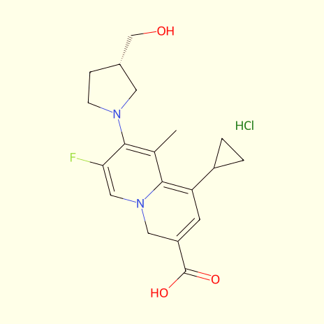 CC1=C(N2CC[C@H](CO)C2)C(F)=CN2CC(C(=O)O)=CC(C3CC3)=C12.Cl